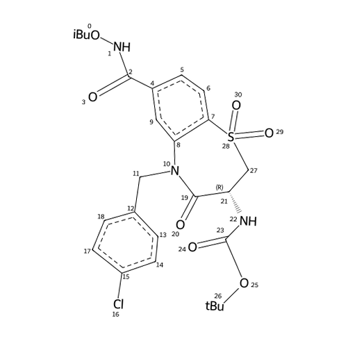 CC(C)CONC(=O)c1ccc2c(c1)N(Cc1ccc(Cl)cc1)C(=O)[C@@H](NC(=O)OC(C)(C)C)CS2(=O)=O